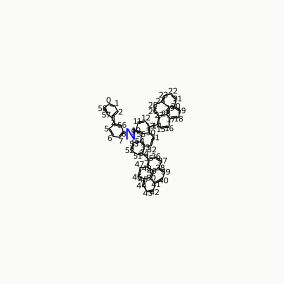 c1ccc(-c2cccc(-n3c4ccc(-c5ccc6ccc7cccc8ccc5c6c78)c5ccc6c(-c7ccc8ccc9cccc%10ccc7c8c9%10)ccc3c6c54)c2)cc1